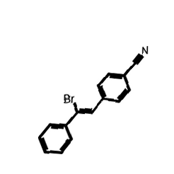 N#Cc1ccc(C=C(Br)c2ccccc2)cc1